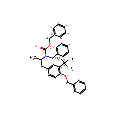 CC(Cc1ccc(OCc2ccccc2)c(C(C)(C)C)c1)N(Cc1ccccc1)C(=O)OCc1ccccc1